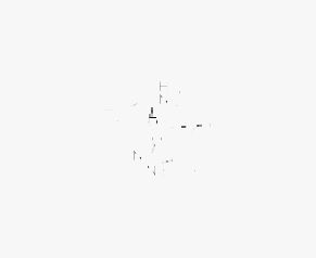 C=CC(=O)NC(C)(C)CS(=O)(=O)[O-].C=CC(N)=O.[Na+]